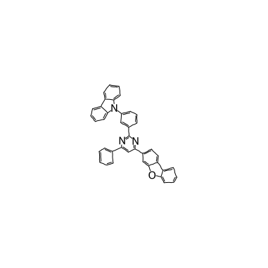 c1ccc(-c2cc(-c3ccc4c(c3)oc3ccccc34)nc(-c3cccc(-n4c5ccccc5c5ccccc54)c3)n2)cc1